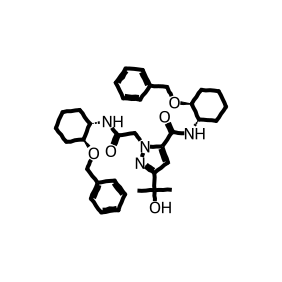 CC(C)(O)c1cc(C(=O)N[C@H]2CCCC[C@@H]2OCc2ccccc2)n(CC(=O)N[C@H]2CCCC[C@@H]2OCc2ccccc2)n1